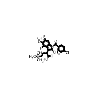 COc1c(F)cc2c(c1F)c(C(CC[Si](C)(C)C)C(=O)O)c(C)n2C(=O)c1ccc(Cl)cc1